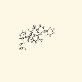 COC[C@@H]1CCC[C@H](COC(=O)N2CCC(N3CCCCC3)CC2)N1S(=O)(=O)c1ccc(Cl)cc1